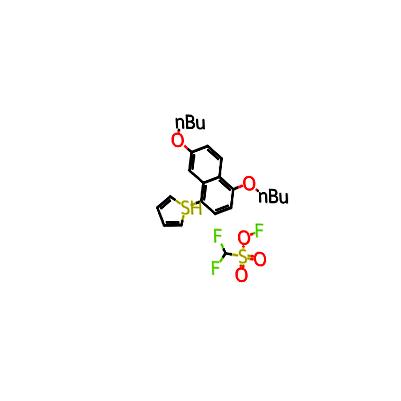 CCCCOc1ccc2c(OCCCC)ccc([SH]3C=CC=C3)c2c1.O=S(=O)(OF)C(F)F